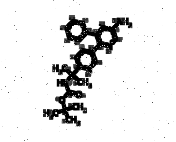 CC(C)(C)OC(=O)NC(C)(C)c1ccc(-c2ncc(N)cc2-c2ccccc2)cn1